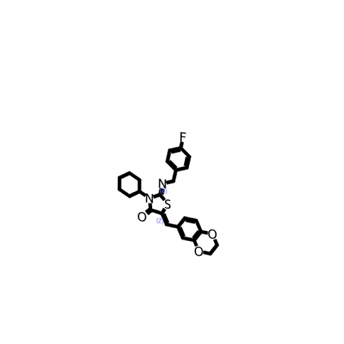 O=C1/C(=C/c2ccc3c(c2)OCCO3)S/C(=N\Cc2ccc(F)cc2)N1C1CCCCC1